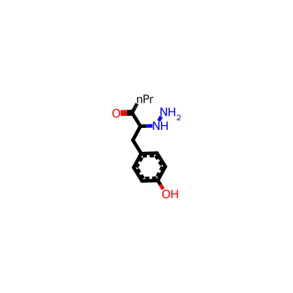 CCCC(=O)C(Cc1ccc(O)cc1)NN